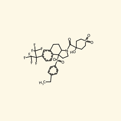 CCc1ccc(S(=O)(=O)C23CCN(C(=O)C4(O)CCS(=O)(=O)CC4)C2CCc2cc(C(F)(C(F)(F)F)C(F)(F)F)ccc23)cc1